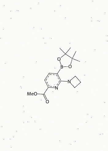 COC(=O)c1ccc(B2OC(C)(C)C(C)(C)O2)c(N2CCC2)n1